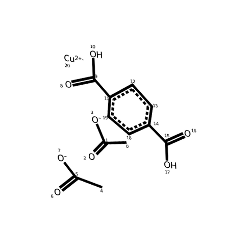 CC(=O)[O-].CC(=O)[O-].O=C(O)c1ccc(C(=O)O)cc1.[Cu+2]